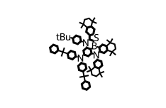 CC(C)(C)c1ccc(N2c3cc(N(c4ccc(C(C)(C)c5ccccc5)cc4)c4ccc(C(C)(C)c5ccccc5)cc4)cc4c3B(c3cc5c(cc3N4c3ccc4c(c3)C(C)(C)CCC4(C)C)C(C)(C)CCC5(C)C)c3sc4cc5c(cc4c32)C(C)(C)CCC5(C)C)cc1